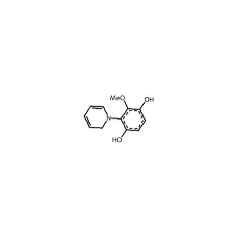 COc1c(O)ccc(O)c1N1C=CC=CC1